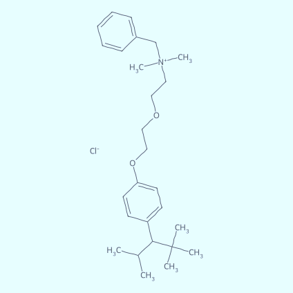 CC(C)C(c1ccc(OCCOCC[N+](C)(C)Cc2ccccc2)cc1)C(C)(C)C.[Cl-]